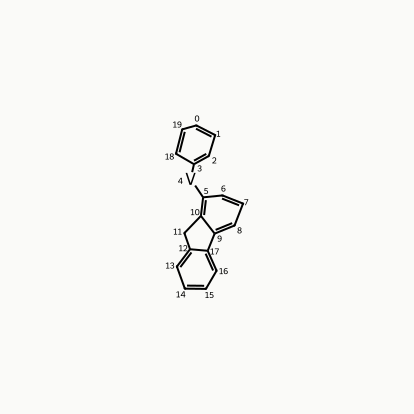 c1cc[c]([V][c]2cccc3c2Cc2ccccc2-3)cc1